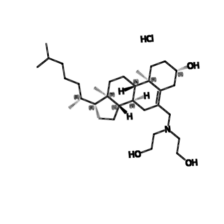 CC(C)CCC[C@@H](C)[C@H]1CC[C@H]2[C@@H]3CC(CN(CCO)CCO)=C4C[C@@H](O)CC[C@]4(C)[C@H]3CC[C@]12C.Cl